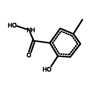 Cc1ccc(O)c(C(=O)NO)c1